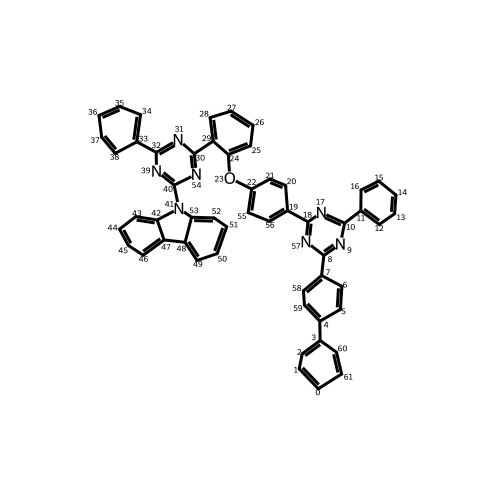 c1ccc(-c2ccc(-c3nc(-c4ccccc4)nc(-c4ccc(Oc5ccccc5-c5nc(-c6ccccc6)nc(-n6c7ccccc7c7ccccc76)n5)cc4)n3)cc2)cc1